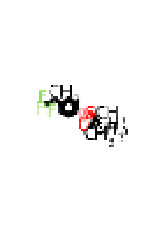 CC(c1ccc(B2OC(C)(C)C(C)(C)O2)cc1)C(F)(F)F